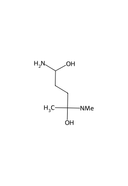 CNC(C)(O)CCC(N)O